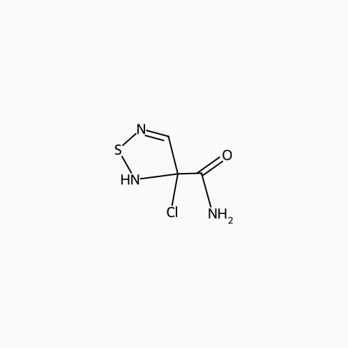 NC(=O)C1(Cl)C=NSN1